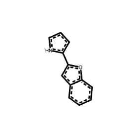 c1c[nH]c(-c2cc3ccccc3o2)c1